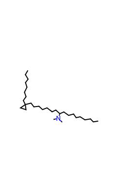 CCCCCCCCCC(CCCCCCCC1(CCCCCCCC)CC1)N(C)C